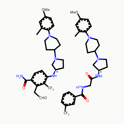 COc1ccc(N2CCC(N3CC[C@@H](Nc4ccc(C(N)=O)c(CC=O)c4C(F)(F)F)C3)CC2)c(C)c1.COc1ccc(N2CCC(N3CC[C@@H]([15NH]C(=O)C[15NH]C(=O)c4cccc(C(F)(F)F)c4)C3)CC2)c(C)c1